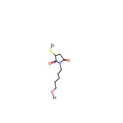 CCOCCCCCN1C(=O)CC(SCC)C1=O